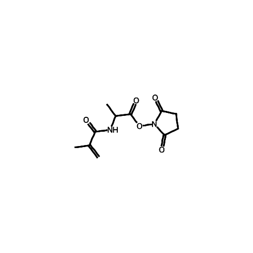 C=C(C)C(=O)NC(C)C(=O)ON1C(=O)CCC1=O